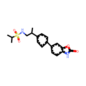 CC(CNS(=O)(=O)C(C)C)c1ccc(-c2ccc3[nH]c(=O)oc3c2)cc1